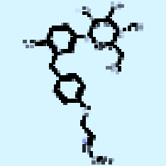 CO/N=C/COc1ccc(Cc2cc([C@@H]3O[C@H](CO)[C@@H](O)[C@H](O)[C@H]3O)ccc2C#N)cc1